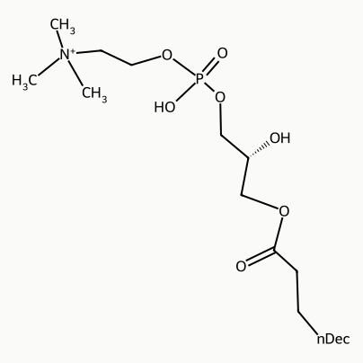 CCCCCCCCCCCCC(=O)OC[C@@H](O)COP(=O)(O)OCC[N+](C)(C)C